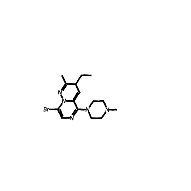 CCC1C=C2C(N3CCN(C)CC3)=NC=C(Br)N2N=C1C